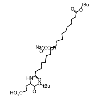 CC(C)(C)OC(=O)CCCCCCCCCCCCCCCCC(=O)NC(CCC(=O)O)C(=O)OC(C)(C)C.O=C([O-])O.[Na+]